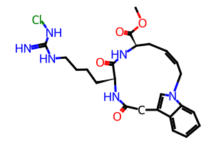 COC(=O)[C@H]1CC=CCn2cc(c3ccccc32)CC(=O)N[C@@H](CCCCNC(=N)NCl)C(=O)N1